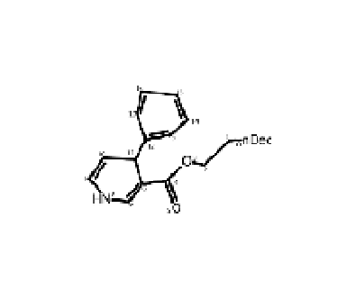 CCCCCCCCCCCCOC(=O)C1=CNC=CC1c1ccccc1